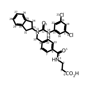 O=C(O)CCNC(=O)c1ccc(CN(C(=O)Nc2cc(Cl)cc(Cl)c2)C2Cc3ccccc3C2)cc1